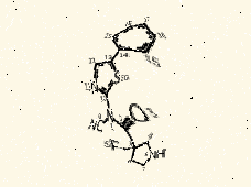 N#CN(C(=O)[C@@]1(F)CCNC1)c1ncc(-c2ccccc2)s1